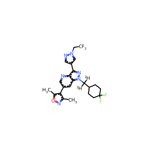 [2H]C([2H])(C1CCC(F)(F)CC1)n1nc(-c2cnn(CC(F)(F)F)c2)c2ncc(-c3c(C)noc3C)cc21